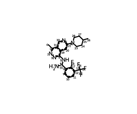 Cc1nnc(N[C@H](N)c2cccc(C(F)(F)F)c2F)c2cc(N3CCC(C)CC3)ncc12